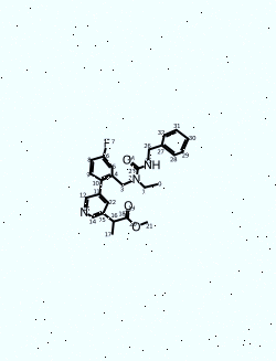 CCN(Cc1cc(F)ccc1-c1cncc(C(C)C(=O)OC)c1)C(=O)NCc1ccccc1